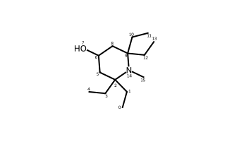 CCC1(CC)CC(O)CC(CC)(CC)N1C